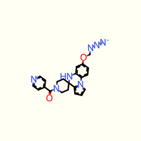 [N-]=[N+]=NCOc1ccc2c(c1)NC1(CCN(C(=O)c3ccncc3)CC1)c1cccn1-2